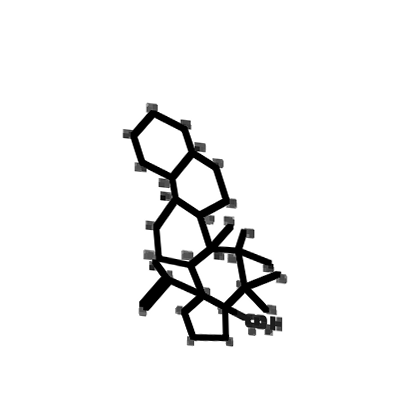 C=C(C)C12CCCC1(C(=O)O)C(C)(C)C(C)(C)C1(C)C3CCC4CCCCC4C3CCC21